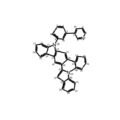 c1cncc(-c2cccc(-n3c4ccccc4c4cc5c(cc43)c3ccccc3n3c4ccccc4cc53)c2)c1